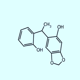 CC(c1ccccc1O)c1cc2c(cc1O)OCO2